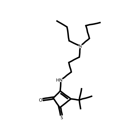 CCCN(CCC)CCCNc1c(C(C)(C)C)c(=S)c1=O